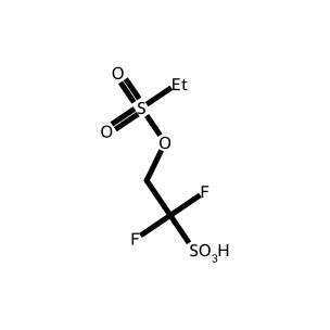 CCS(=O)(=O)OCC(F)(F)S(=O)(=O)O